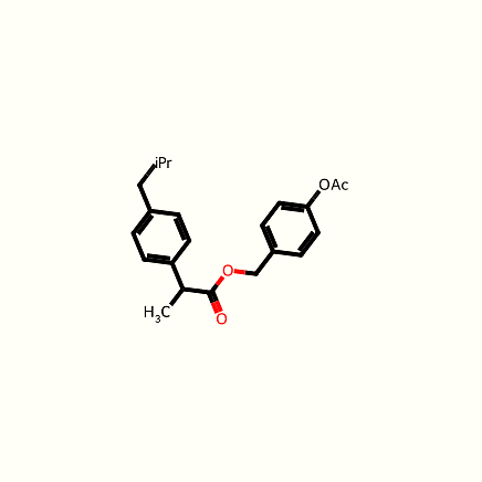 CC(=O)Oc1ccc(COC(=O)C(C)c2ccc(CC(C)C)cc2)cc1